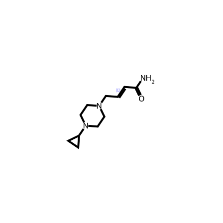 NC(=O)/C=C/CN1CCN(C2CC2)CC1